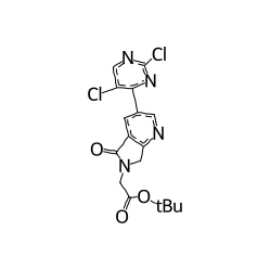 CC(C)(C)OC(=O)CN1Cc2ncc(-c3nc(Cl)ncc3Cl)cc2C1=O